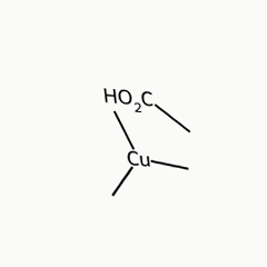 CC(=O)O.[CH3][Cu]([CH3])[CH3]